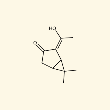 CC(O)=C1C(=O)CC2C1C2(C)C